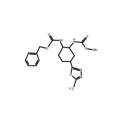 CC(C)(C)OC(=O)NC1CC(c2nnc(C(F)(F)F)o2)CCC1NC(=O)OCc1ccccc1